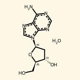 Nc1ncnc2c1ncn2[C@H]1C[C@H](O)[C@@H](CO)O1.O